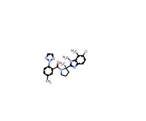 Cc1ccc(-n2nccn2)c(C(=O)N2CCC[C@@]2(C)c2nc3ccc(Cl)c(C)c3n2C)c1